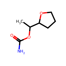 CC(OC(N)=O)C1CCCO1